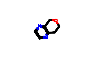 c1cnc2c(n1)CCOC2